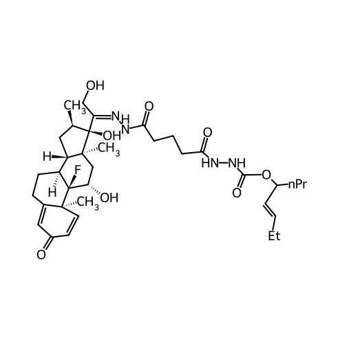 CC/C=C/C(CCC)OC(=O)NNC(=O)CCCC(=O)N/N=C(/CO)[C@@]1(O)[C@H](C)C[C@H]2[C@@H]3CCC4=CC(=O)C=C[C@]4(C)[C@@]3(F)[C@@H](O)C[C@@]21C